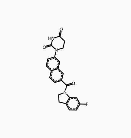 O=C1CCN(c2ccc3ccc(C(=O)N4CCc5ccc(F)cc54)cc3c2)C(=O)N1